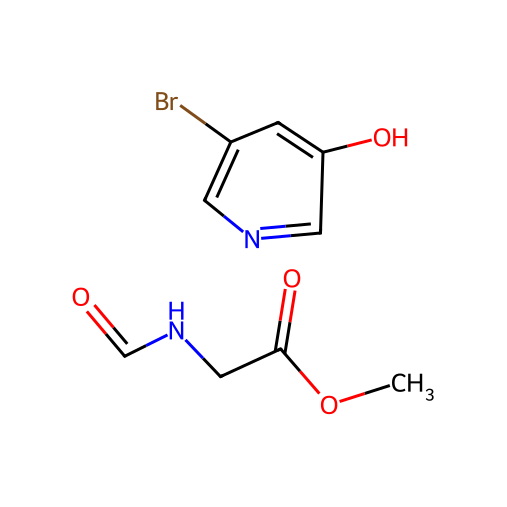 COC(=O)CNC=O.Oc1cncc(Br)c1